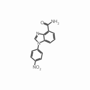 NC(=O)c1cccc2c1ncn2-c1ccc([N+](=O)[O-])cc1